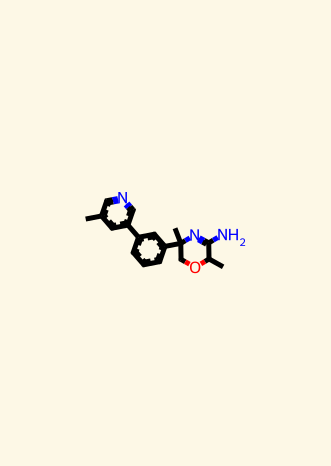 Cc1cncc(-c2cccc(C3(C)COC(C)C(N)=N3)c2)c1